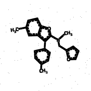 Cc1ccc(-c2c(N(C)Cc3ccco3)oc3ccc(C)cc23)cc1